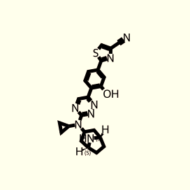 N#Cc1csc(-c2ccc(-c3cnc(N(C4CC4)C4C[C@@H]5CC[C@@H](C4)N5)nn3)c(O)c2)n1